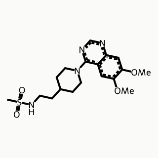 COc1cc2ncnc(N3CCC(CCNS(C)(=O)=O)CC3)c2cc1OC